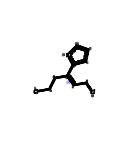 ClC/C=C(/CCCl)c1cccs1